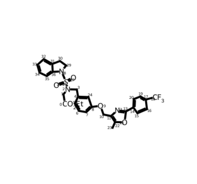 CCOC(=O)CN(Cc1cccc(OCc2nc(-c3ccc(C(F)(F)F)cc3)oc2C)c1)S(=O)(=O)N1CCc2ccccc21